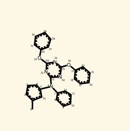 Cc1cccc(N(c2ccccc2)c2nc(Oc3ccccc3)nc(Oc3ccccc3)n2)c1